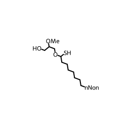 CCCCCCCCCCCCCCCCC(S)OCC(CO)OC